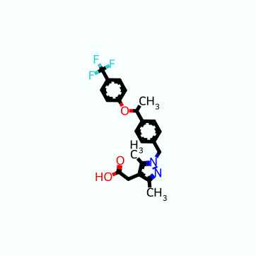 Cc1nn(Cc2ccc(C(C)Oc3ccc(C(F)(F)F)cc3)cc2)c(C)c1CC(=O)O